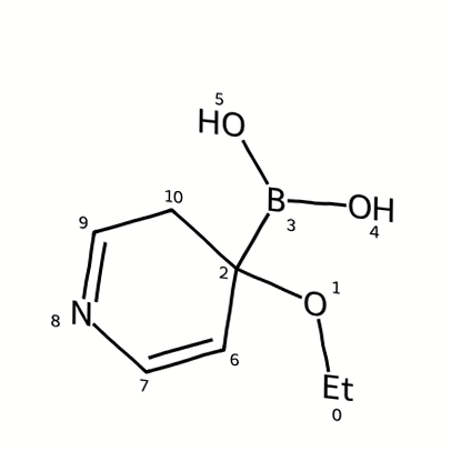 CCOC1(B(O)O)C=CN=CC1